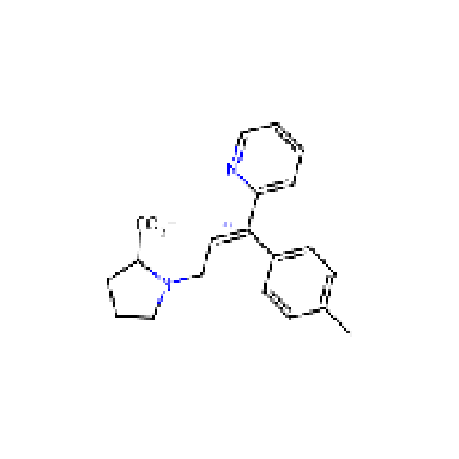 Cc1ccc(/C(=C\CN2CCCC2C(=O)O)c2ccccn2)cc1